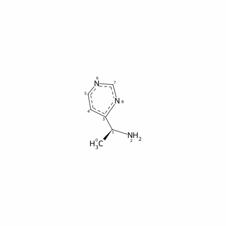 C[C@H](N)c1ccncn1